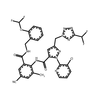 Cc1cc(C#N)cc(C(=O)NCc2ccccc2OC(F)F)c1NC(=O)c1cc(Cn2nnc(C(F)F)n2)nn1-c1ncccc1Cl